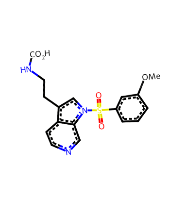 COc1cccc(S(=O)(=O)n2cc(CCNC(=O)O)c3ccncc32)c1